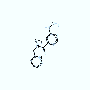 CN(Cc1ccccn1)C(=O)c1ccnc(NN)c1